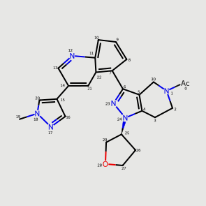 CC(=O)N1CCc2c(c(-c3cccc4ncc(-c5cnn(C)c5)cc34)nn2[C@H]2CCOC2)C1